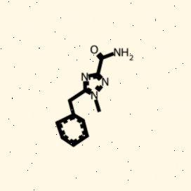 Cn1nc(C(N)=O)nc1Cc1ccccc1